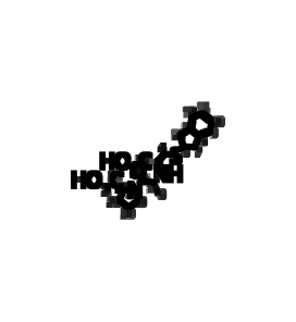 C[C@H](N[C@@H](CSC1Cc2ccccc2C1)C(=O)O)C(=O)N1CCC[C@H]1C(=O)O